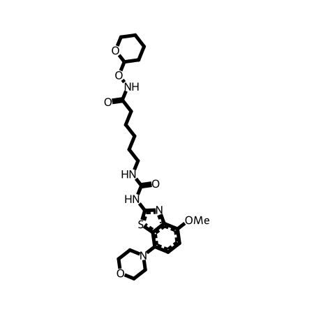 COc1ccc(N2CCOCC2)c2sc(NC(=O)NCCCCCC(=O)NOC3CCCCO3)nc12